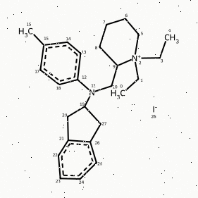 CC[N+]1(CC)CCCCC1CN(c1ccc(C)cc1)C1Cc2ccccc2C1.[I-]